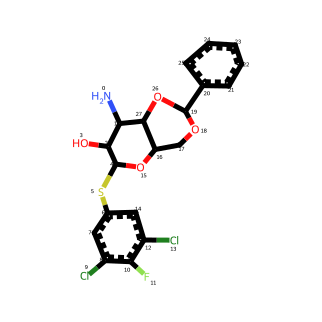 NC1C(O)C(Sc2cc(Cl)c(F)c(Cl)c2)OC2COC(c3ccccc3)OC21